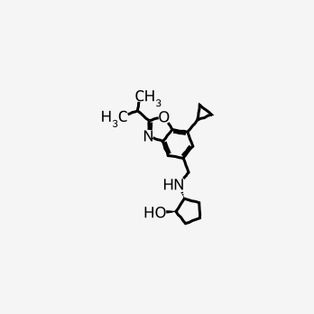 CC(C)c1nc2cc(CN[C@@H]3CCC[C@H]3O)cc(C3CC3)c2o1